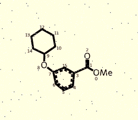 COC(=O)c1cccc(OC2CCCCC2)c1